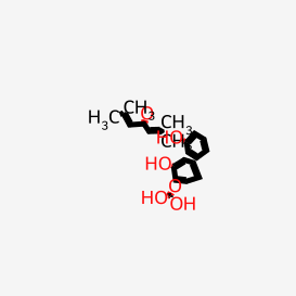 CC(C)=CC(=O)C=C(C)C.O=C(O)O.Oc1ccccc1.Oc1ccccc1